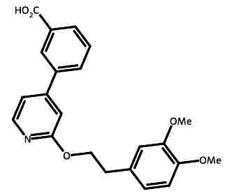 COc1ccc(CCOc2cc(-c3cccc(C(=O)O)c3)ccn2)cc1OC